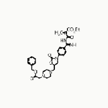 CCOC(=O)N(C)C(=O)NC(=N)c1ccc(N2CC(CN3CCN(CC(=O)OCc4ccccc4)CC3)OC2=O)cc1